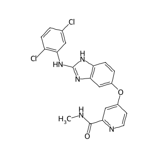 CNC(=O)c1cc(Oc2ccc3[nH]c(Nc4cc(Cl)ccc4Cl)nc3c2)ccn1